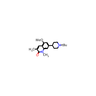 COc1cc(C2CCN(C(C)(C)C)CC2)cc2c1cc(C)c(=O)n2C